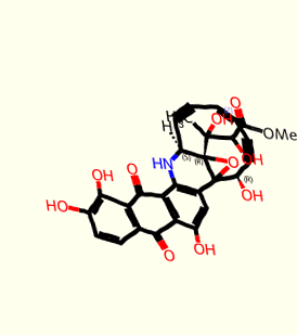 COC(=O)C(O)C(C)(O)[C@@]12OC13c1cc(O)c4c(c1N[C@H]2C#C/C=C\C#C[C@H]3O)C(=O)c1c(ccc(O)c1O)C4=O